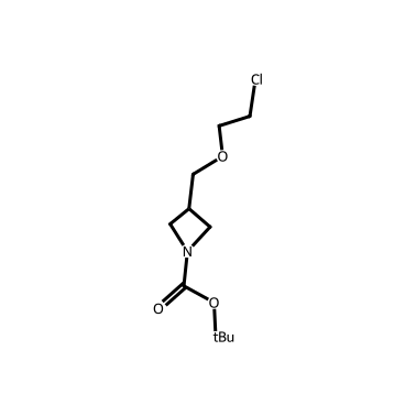 CC(C)(C)OC(=O)N1CC(COCCCl)C1